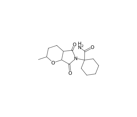 CC1CCC2C(=O)N(C3(C(N)=O)CCCCC3)C(=O)C2O1